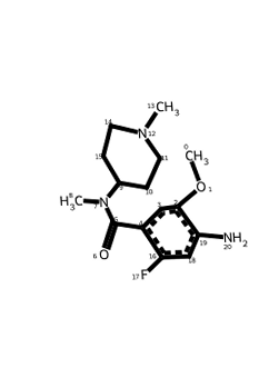 COc1cc(C(=O)N(C)C2CCN(C)CC2)c(F)cc1N